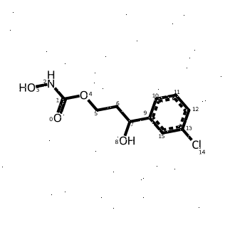 O=C(NO)OCCC(O)c1cccc(Cl)c1